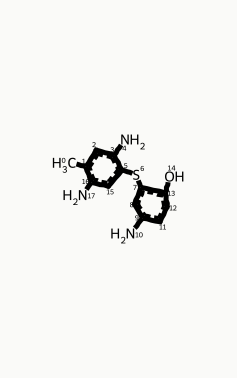 Cc1cc(N)c(Sc2cc(N)ccc2O)cc1N